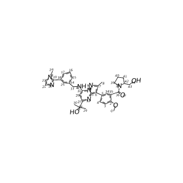 COc1ccc(-c2c(C)nn3c(NCc4cccc(-c5nccn5C)c4)cc(C(C)(C)O)nc23)cc1C(=O)N1CCCC1CO